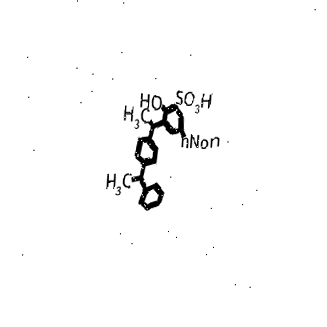 CCCCCCCCCc1cc(C(C)c2ccc(C(C)c3ccccc3)cc2)c(O)c(S(=O)(=O)O)c1